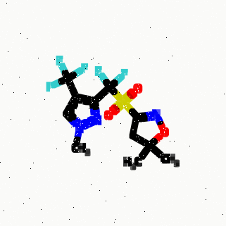 Cn1cc(C(F)(F)F)c(C(F)(F)S(=O)(=O)C2=NOC(C)(C)C2)n1